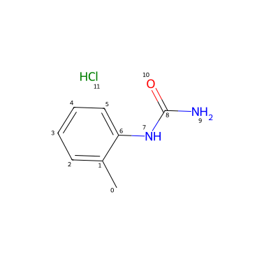 Cc1ccccc1NC(N)=O.Cl